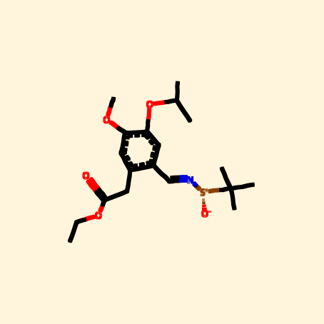 CCOC(=O)Cc1cc(OC)c(OC(C)C)cc1C=N[S@@+]([O-])C(C)(C)C